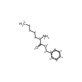 [CH2]CCCCC(N)C(=O)OCc1ccccc1